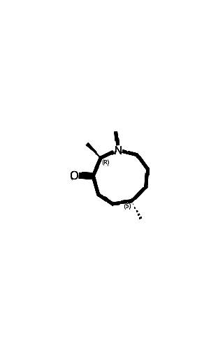 C[C@H]1CCCN(C)[C@H](C)C(=O)CC1